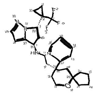 FC(F)(F)C1([C@@H]2C[C@@H](NCC[C@@]3(c4ccccn4)CCOC4(CCCC4)C3)c3ccnn32)CC1